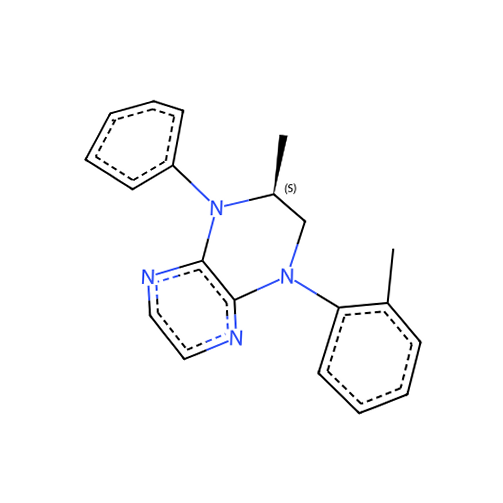 Cc1ccccc1N1C[C@H](C)N(c2ccccc2)c2nccnc21